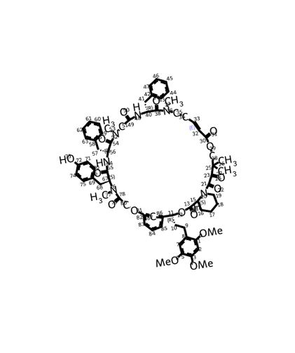 COc1cc(OC)c(OC)cc1CC[C@H]1OC(=O)[C@@H]2CCCCN2C(=O)C(=O)C(C)(C)COC(=O)/C=C/CCN(C)C(=O)[C@@H](Cc2ccccc2)NC(=O)CN(C)C(=O)[C@@H](Cc2ccccc2)NC(=O)[C@H](Cc2ccc(O)cc2)N(C)C(=O)COc2cccc1c2